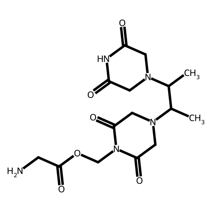 CC(C(C)N1CC(=O)N(COC(=O)CN)C(=O)C1)N1CC(=O)NC(=O)C1